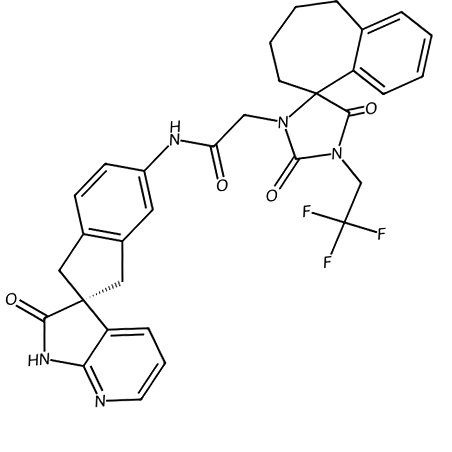 O=C(CN1C(=O)N(CC(F)(F)F)C(=O)C12CCCCc1ccccc12)Nc1ccc2c(c1)C[C@@]1(C2)C(=O)Nc2ncccc21